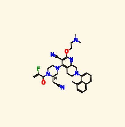 C=C(F)C(=O)N1CCN(c2c(C#N)c(OCCN(C)C)nc3c2CCN(c2cccc4cccc(C)c24)C3)C[C@@H]1CC#N